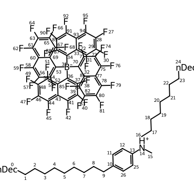 CCCCCCCCCCCCCCCCCCCc1ccc([NH+](C)CCCCCCCCCCCCCCCCCC)cc1.Fc1c(F)c(F)c2c([B-](c3c(F)c(F)c(F)c4c(F)c(F)c(F)c(F)c34)(c3c(F)c(F)c(F)c4c(F)c(F)c(F)c(F)c34)c3c(F)c(F)c(F)c4c(F)c(F)c(F)c(F)c34)c(F)c(F)c(F)c2c1F